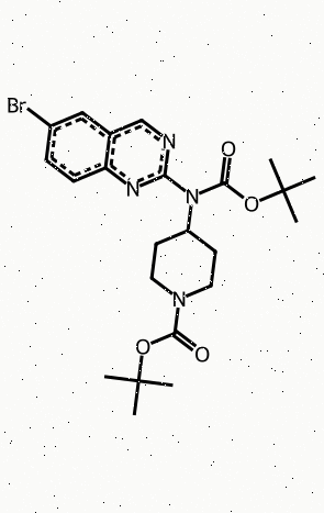 CC(C)(C)OC(=O)N1CCC(N(C(=O)OC(C)(C)C)c2ncc3cc(Br)ccc3n2)CC1